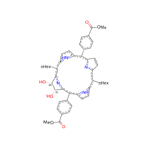 CCCCCCc1c2nc(c(-c3ccc(C(=O)OC)cc3)c3ccc([nH]3)c(CCCCCC)c3nc(c(-c4ccc(C(=O)OC)cc4)c4ccc1[nH]4)[C@H](O)[C@@H]3O)C=C2